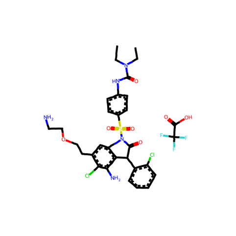 CCN(CC)C(=O)Nc1ccc(S(=O)(=O)N2C(=O)C(c3ccccc3Cl)c3c2cc(CCOCCN)c(Cl)c3N)cc1.O=C(O)C(F)(F)F